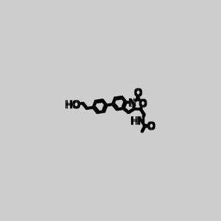 CC(=O)NCC1OC(=O)N2c3ccc(-c4ccc(CCO)cc4)cc3CC12